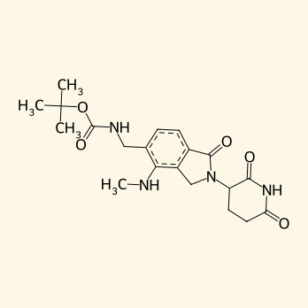 CNc1c(CNC(=O)OC(C)(C)C)ccc2c1CN(C1CCC(=O)NC1=O)C2=O